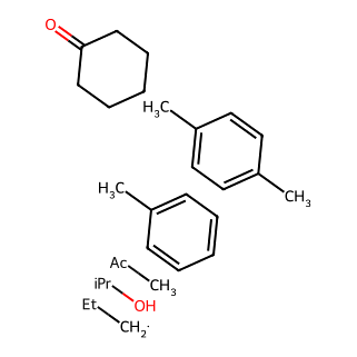 CC(C)=O.CC(C)O.Cc1ccc(C)cc1.Cc1ccccc1.O=C1CCCCC1.[CH2]CC